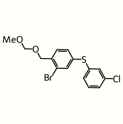 COCOCc1ccc(Sc2cccc(Cl)c2)cc1Br